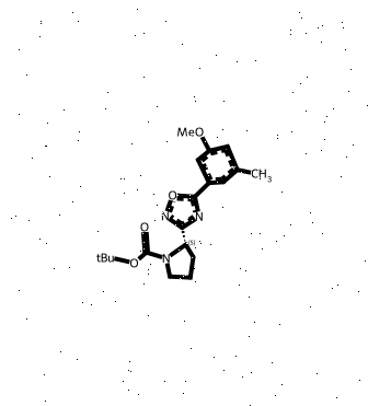 COc1cc(C)cc(-c2nc([C@@H]3CCCN3C(=O)OC(C)(C)C)no2)c1